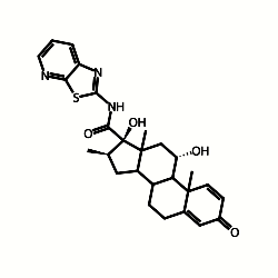 C[C@@H]1CC2C3CCC4=CC(=O)C=CC4(C)C3[C@@H](O)CC2(C)[C@@]1(O)C(=O)Nc1nc2cccnc2s1